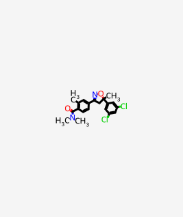 Cc1cc(C2=NOC(C)(c3cc(Cl)cc(Cl)c3)C2)ccc1C(=O)N(C)C